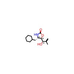 C=C(C)[C@@H](O)[C@@H]1OC(=O)N[C@H]1CC1CCCCC1